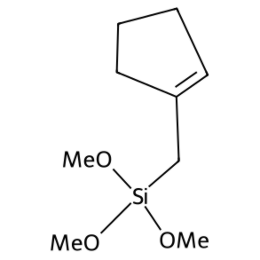 CO[Si](CC1=CCCC1)(OC)OC